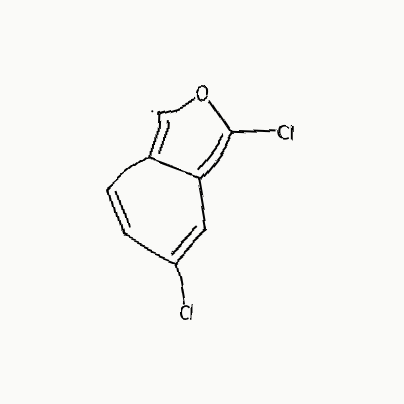 Clc1ccc2[c]oc(Cl)c2c1